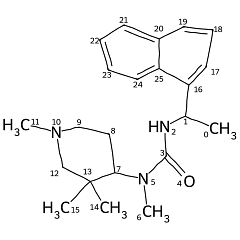 CC(NC(=O)N(C)C1CCN(C)CC1(C)C)c1cccc2ccccc12